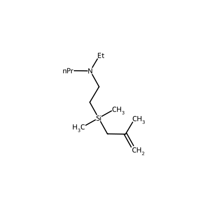 C=C(C)C[Si](C)(C)CCN(CC)CCC